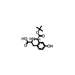 CC(C)(C)OC(=O)[C@@H]1NC(C(=O)O)Cc2ccc(O)cc21